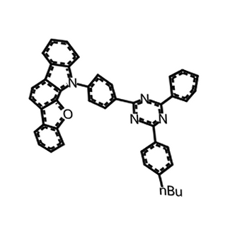 CCCCc1ccc(-c2nc(-c3ccccc3)nc(-c3ccc(-n4c5ccccc5c5ccc6c7ccccc7oc6c54)cc3)n2)cc1